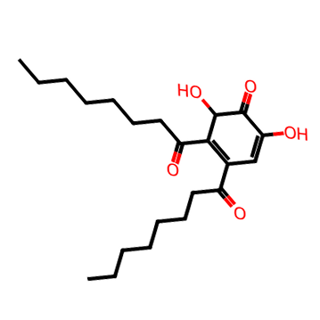 CCCCCCCC(=O)C1=C(C(=O)CCCCCCC)C(O)C(=O)C(O)=C1